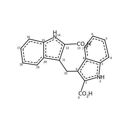 O=C(O)c1[nH]c2ccccc2c1Cc1c(C(=O)O)[nH]c2ccccc12